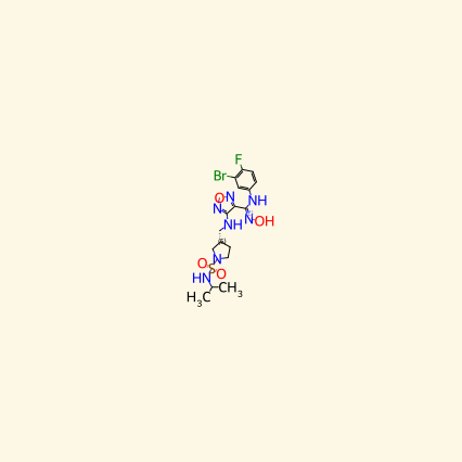 CC(C)NS(=O)(=O)N1CC[C@@H](CNc2nonc2/C(=N/O)Nc2ccc(F)c(Br)c2)C1